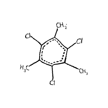 [CH2]c1c(Cl)c(C)c(Cl)c(C)c1Cl